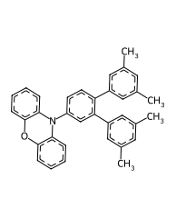 Cc1cc(C)cc(-c2ccc(N3c4ccccc4Oc4ccccc43)cc2-c2cc(C)cc(C)c2)c1